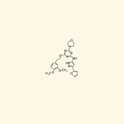 COc1ccc(CCOc2nc(Nc3cc(-c4ccco4)n[nH]3)nc(N3CCOCC3)n2)cc1OC